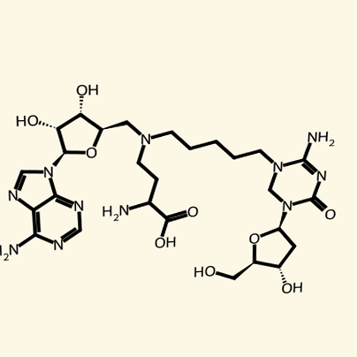 NC1=NC(=O)N([C@H]2C[C@H](O)[C@@H](CO)O2)CN1CCCCCN(CCC(N)C(=O)O)C[C@H]1O[C@@H](n2cnc3c(N)ncnc32)[C@H](O)[C@@H]1O